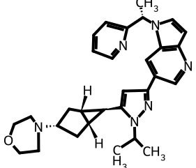 CC(C)n1nc(-c2cnc3ccn([C@@H](C)c4ccccn4)c3c2)cc1[C@H]1[C@@H]2C[C@H](N3CCOCC3)C[C@@H]21